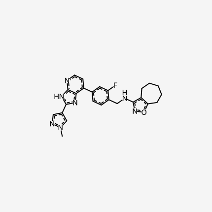 Cn1cc(-c2nc3c(-c4ccc(CNc5noc6c5CCCCC6)c(F)c4)ccnc3[nH]2)cn1